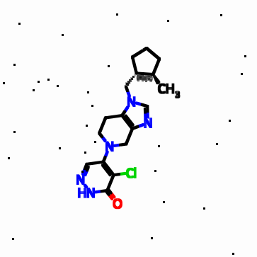 C[C@@H]1CCC[C@H]1Cn1cnc2c1CCN(c1cn[nH]c(=O)c1Cl)C2